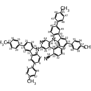 Cc1ccc(-c2ccc3c(c2)c2cc(-c4ccc(C)cc4)ccc2n3-c2cc(-c3ccccc3C#N)c(-n3c4ccc(-c5ccc(C)cc5)cc4c4cc(-c5ccc(C)cc5)ccc43)cn2)cc1